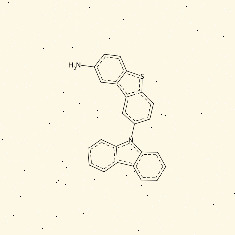 Nc1ccc2sc3ccc(-n4c5ccccc5c5ccccc54)cc3c2c1